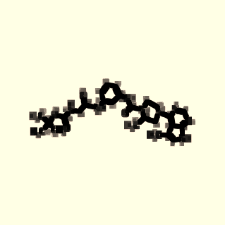 Cc1c[nH]c2ncnc(N3CCN(C(=O)Nc4cccc(NC(=O)CNC(=O)OC(C)(C)C)c4)C(C)C3)c12